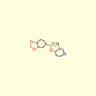 O=[N+]([O-])c1cnccc1OCc1ccc2c(c1)OCO2